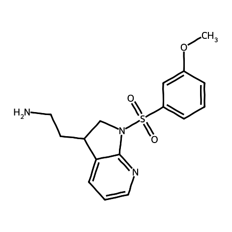 COc1cccc(S(=O)(=O)N2CC(CCN)c3cccnc32)c1